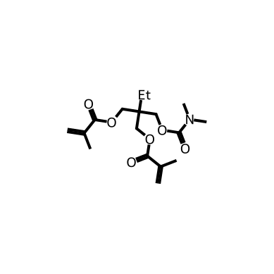 C=C(C)C(=O)OCC(CC)(COC(=O)C(=C)C)COC(=O)N(C)C